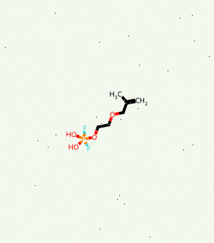 C=C(C)COCCOP(O)(O)(F)F